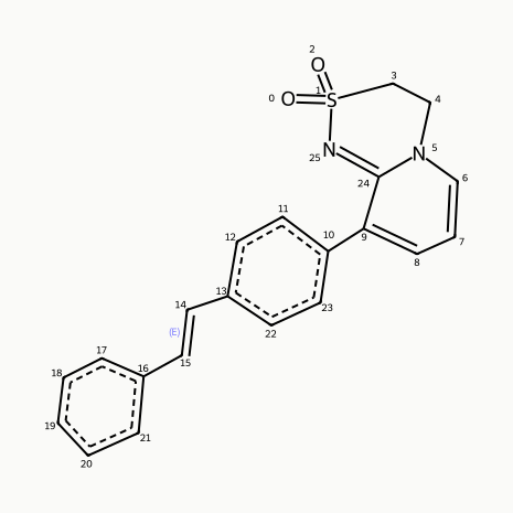 O=S1(=O)CCN2C=CC=C(c3ccc(/C=C/c4ccccc4)cc3)C2=N1